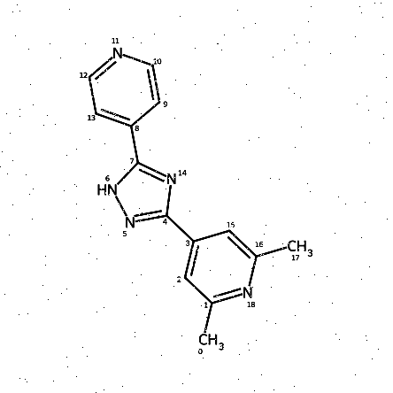 Cc1cc(-c2n[nH]c(-c3ccncc3)n2)cc(C)n1